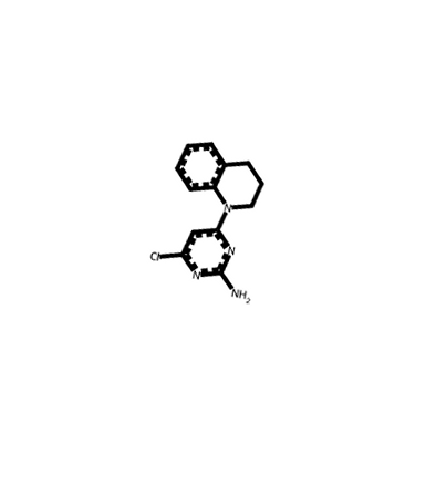 Nc1nc(Cl)cc(N2CCCc3ccccc32)n1